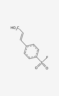 O=C(O)C=Cc1ccc(S(=O)(=O)F)cc1